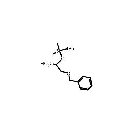 CC(C)(C)[Si](C)(C)OC(COCc1ccccc1)C(=O)O